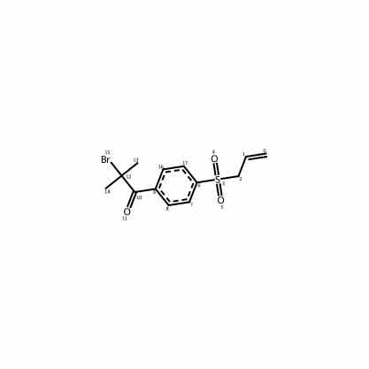 C=CCS(=O)(=O)c1ccc(C(=O)C(C)(C)Br)cc1